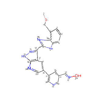 COCc1cccc2[nH]c(-c3n[nH]c4ncc(-c5cncc(C=NO)c5)cc34)nc12